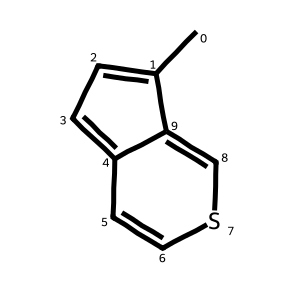 Cc1ccc2ccscc1-2